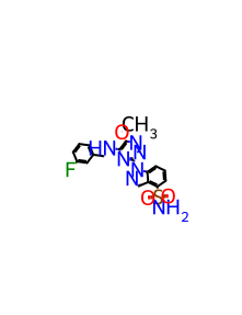 COc1nnc(-n2ncc3c(S(N)(=O)=O)cccc32)nc1NCc1cccc(F)c1